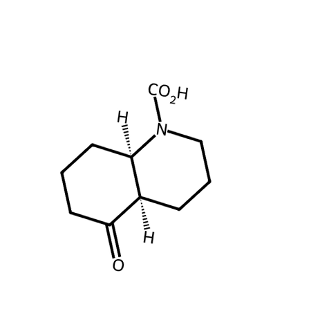 O=C1CCC[C@@H]2[C@H]1CCCN2C(=O)O